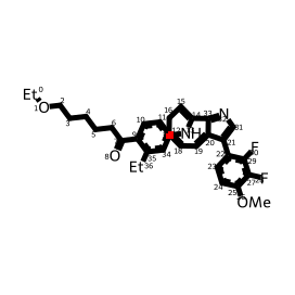 CCOCCCCCC(=O)c1ccc(N/C2=C\C/C=C\C=C3\C(c4ccc(OC)c(F)c4F)=CN=C23)cc1CC